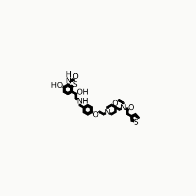 O=C(Cc1ccsc1)N1CCOC2(CCN(CCOc3ccc(CNC[C@H](O)c4ccc(O)c5[nH]c(=O)sc45)cc3)CC2)C1